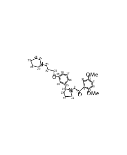 COc1ccc(OC)c(C(=O)CN2CCCC2c2cccc(OCCCN3CCCCC3)c2)c1